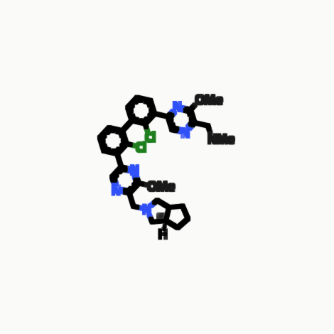 CNCc1ncc(-c2cccc(-c3cccc(-c4cnc(CN5CC6CCC[C@H]6C5)c(OC)n4)c3Cl)c2Cl)nc1OC